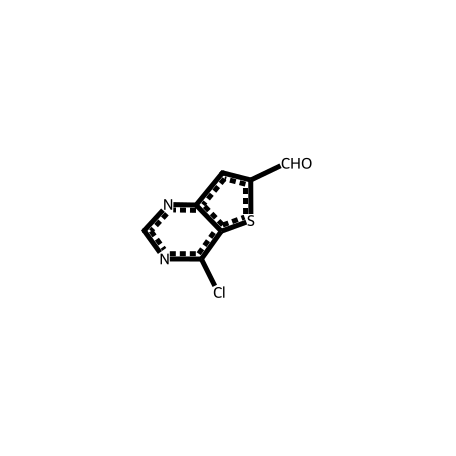 O=Cc1cc2ncnc(Cl)c2s1